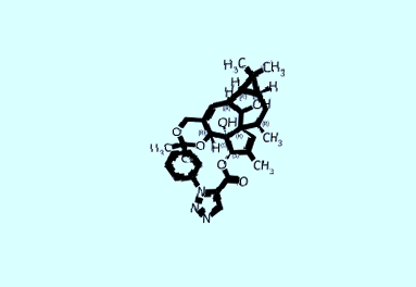 CC1=C[C@]23C(O)[C@@H](C=C4COC(C)(C)O[C@H]4[C@]2(O)[C@H]1OC(=O)c1cnnn1-c1ccccc1)[C@H]1[C@@H](C[C@H]3C)C1(C)C